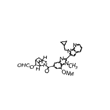 COc1cc(C(=O)N2C[C@H]3CC4C(OC=O)[C@@H]2[C@H]43)cc2nc(-c3cc4cccnc4n3CC3CC3)n(C)c12